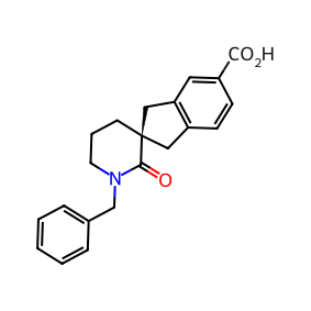 O=C(O)c1ccc2c(c1)C[C@@]1(CCCN(Cc3ccccc3)C1=O)C2